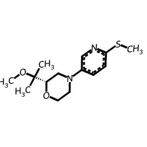 COC(C)(C)[C@@H]1CN(c2ccc(SC)nc2)CCO1